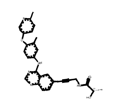 Cc1ccc(Oc2ccc(Nc3ncnc4ccc(C#CCNC(=O)[C@H](C)O)cc34)cc2C)cn1